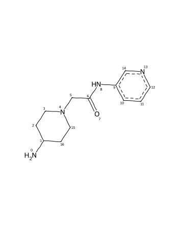 NC1CCN(CC(=O)Nc2cccnc2)CC1